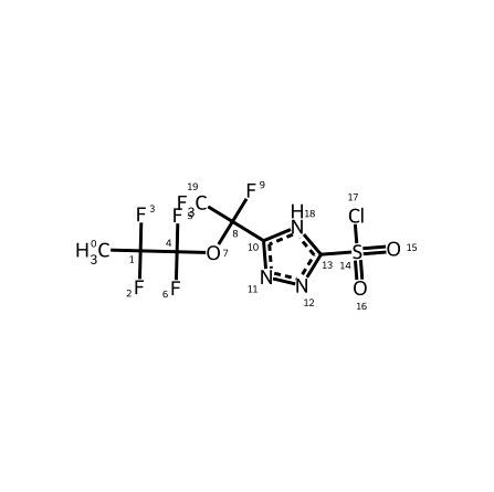 CC(F)(F)C(F)(F)OC(F)(c1nnc(S(=O)(=O)Cl)[nH]1)C(F)(F)F